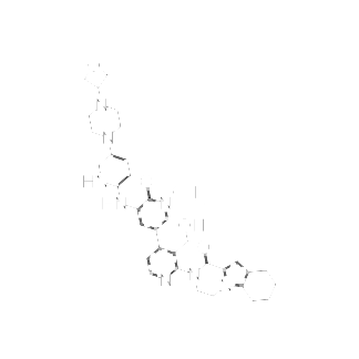 Cn1cc(-c2ccnc(N3CCn4c(cc5c4CCCC5)C3=O)c2CO)cc(NC2=CC=C(N3CCN(C4COC4)CC3)CN2)c1=O